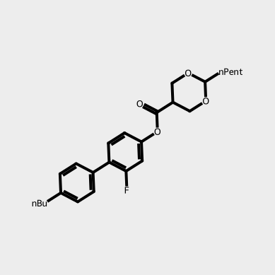 CCCCCC1OCC(C(=O)Oc2ccc(-c3ccc(CCCC)cc3)c(F)c2)CO1